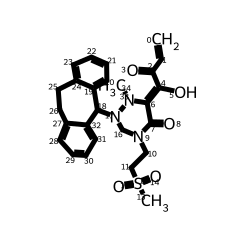 C=CC(=O)/C(O)=C1/C(=O)N(CCS(C)(=O)=O)CN(C2c3ccccc3CCc3ccccc32)N1C